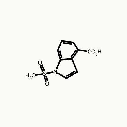 CS(=O)(=O)n1ccc2c(C(=O)O)cccc21